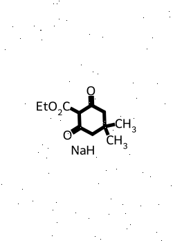 CCOC(=O)C1C(=O)CC(C)(C)CC1=O.[NaH]